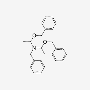 CC(OCc1ccccc1)N(Cc1ccccc1)C(C)OCc1ccccc1